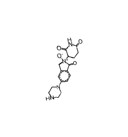 O=C1CCC([N+]2([O-])Cc3cc(N4CCNCC4)ccc3C2=O)C(=O)N1